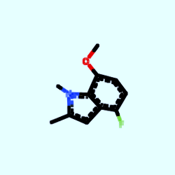 COc1ccc(F)c2cc(C)n(C)c12